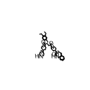 CCc1ccc(C[C@@H](CC(=O)N2CCC(N3CCc4ccccc4NC3=O)CC2)C(=O)N2CCC(N3CCNCC3)CC2)cc1CC